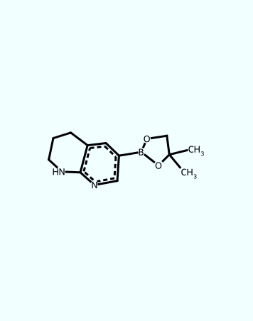 CC1(C)COB(c2cnc3c(c2)CCCN3)O1